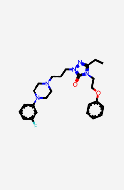 CCc1nn(CCCN2CCN(c3cccc(F)c3)CC2)c(=O)n1CCOc1ccccc1